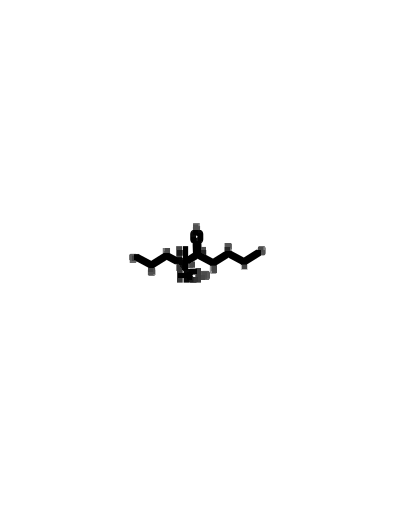 CCCCC(=O)NCCC.Cl